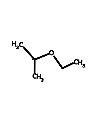 CCO[C](C)C